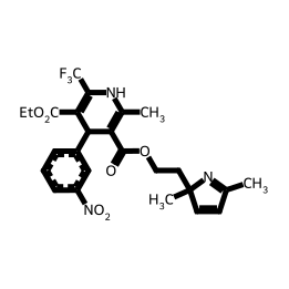 CCOC(=O)C1=C(C(F)(F)F)NC(C)=C(C(=O)OCCC2(C)C=CC(C)=N2)C1c1cccc([N+](=O)[O-])c1